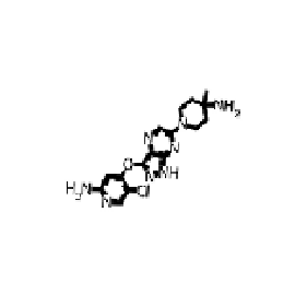 CC1(N)CCN(c2cnc3c(Oc4cc(N)ncc4Cl)n[nH]c3n2)CC1